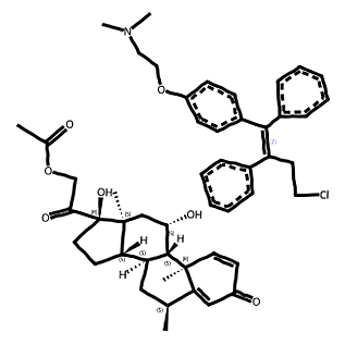 CC(=O)OCC(=O)[C@@]1(O)CC[C@H]2[C@@H]3C[C@H](C)C4=CC(=O)C=C[C@]4(C)[C@H]3[C@@H](O)C[C@@]21C.CN(C)CCOc1ccc(/C(=C(/CCCl)c2ccccc2)c2ccccc2)cc1